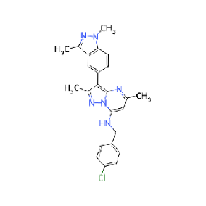 Cc1cc(NCc2ccc(Cl)cc2)n2nc(C)c(-c3ccc4c(c3)c(C)nn4C)c2n1